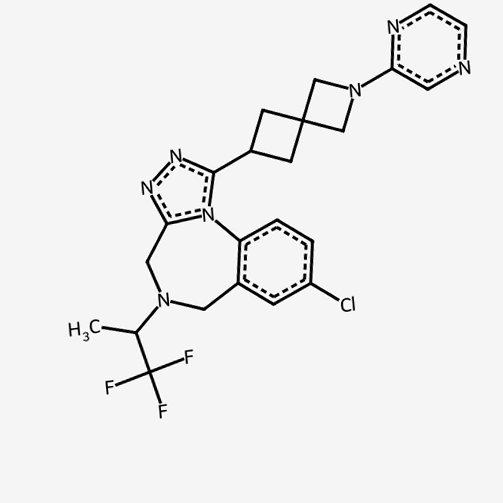 CC(N1Cc2cc(Cl)ccc2-n2c(nnc2C2CC3(C2)CN(c2cnccn2)C3)C1)C(F)(F)F